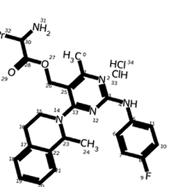 Cc1nc(Nc2ccc(F)cc2)nc(N2CCc3ccccc3C2C)c1COC(=O)C(N)C(C)C.Cl.Cl